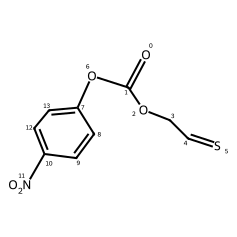 O=C(OCC=S)Oc1ccc([N+](=O)[O-])cc1